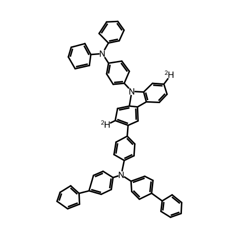 [2H]c1ccc2c3cc(-c4ccc(N(c5ccc(-c6ccccc6)cc5)c5ccc(-c6ccccc6)cc5)cc4)c([2H])cc3n(-c3ccc(N(c4ccccc4)c4ccccc4)cc3)c2c1